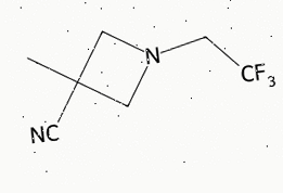 CC1(C#N)CN(CC(F)(F)F)C1